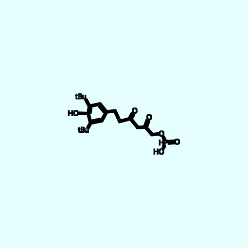 CC(C)(C)c1cc(CCC(=O)CC(=O)CO[PH](=O)O)cc(C(C)(C)C)c1O